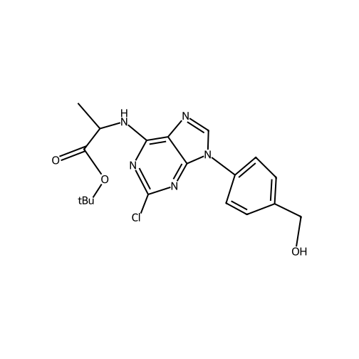 CC(Nc1nc(Cl)nc2c1ncn2-c1ccc(CO)cc1)C(=O)OC(C)(C)C